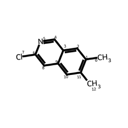 Cc1cc2cnc(Cl)cc2cc1C